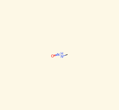 CNN=O